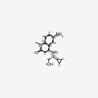 Cn1c(=O)cc(N[C@H](CO)C2CC2)c2cc(N)ccc21